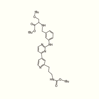 CC(C)(C)OCC(NCc1cccc(Nc2nccc(-c3ccnc(CCCNC(=O)OC(C)(C)C)c3)n2)c1)C(=O)OC(C)(C)C